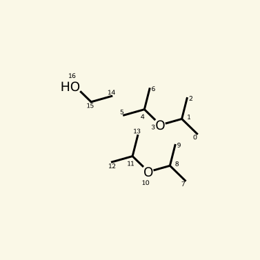 CC(C)OC(C)C.CC(C)OC(C)C.CCO